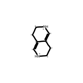 [C]1=C2CCNC=C2CCN1